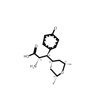 C[C@@H]1C[C@H]([C@H](c2ccc(Cl)cc2)[C@H](N)C(=O)O)C[C@H](C)O1